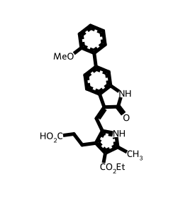 CCOC(=O)c1c(C)[nH]c(/C=C2\C(=O)Nc3cc(-c4ccccc4OC)ccc32)c1CCC(=O)O